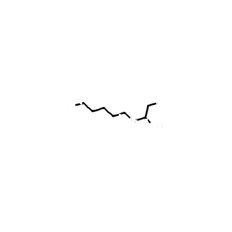 CCCCCCNC(C)CC